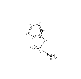 NC(=O)Cc1ncccn1